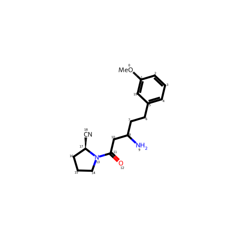 COc1cccc(CCC(N)CC(=O)N2CCC[C@H]2C#N)c1